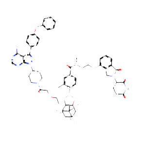 Cc1cc(C(=O)N(C)CCOc2cccc3c2CN(C2CCC(=O)NC2=O)C3=O)ccc1B1O[C@H]2C[C@H]3C[C@H](C3(C)C)[C@@]2(CCOCC(=O)N2CCC(n3nc(-c4ccc(Oc5ccccc5)cc4)c4c(N)ncnc43)CC2)O1